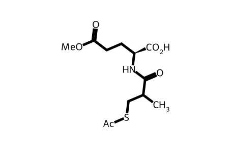 COC(=O)CC[C@H](NC(=O)C(C)CSC(C)=O)C(=O)O